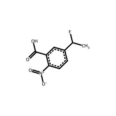 CC(F)c1ccc([N+](=O)[O-])c(C(=O)O)c1